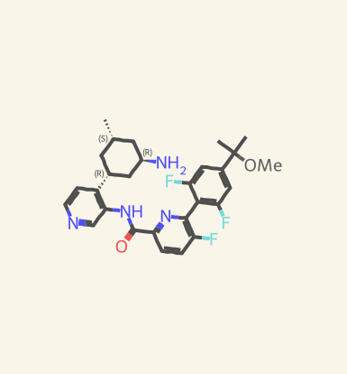 COC(C)(C)c1cc(F)c(-c2nc(C(=O)Nc3cnccc3[C@@H]3C[C@H](C)C[C@@H](N)C3)ccc2F)c(F)c1